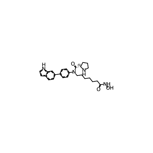 O=C(CCCCCCN(C(=O)[C@@H]1CCCN1)c1ccc(-c2ccc3cc[nH]c3c2)cc1)NO